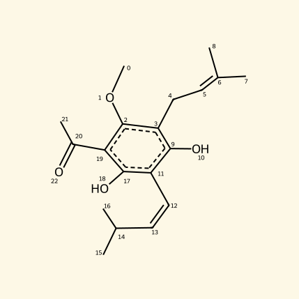 COc1c(CC=C(C)C)c(O)c(/C=C\C(C)C)c(O)c1C(C)=O